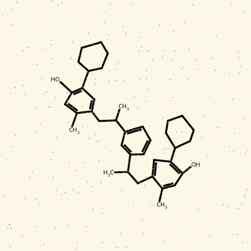 Cc1cc(O)c(C2CCCCC2)cc1CC(C)c1cccc(C(C)Cc2cc(C3CCCCC3)c(O)cc2C)c1